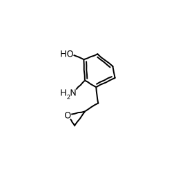 Nc1c(O)cccc1CC1CO1